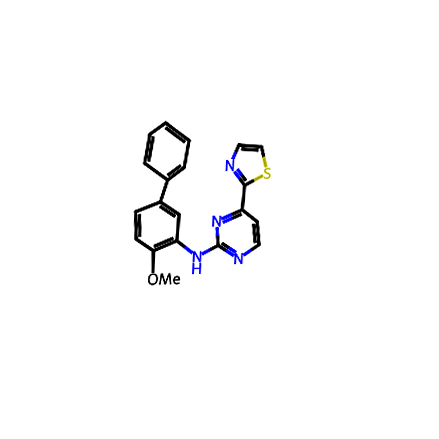 COc1ccc(-c2ccccc2)cc1Nc1nccc(-c2nccs2)n1